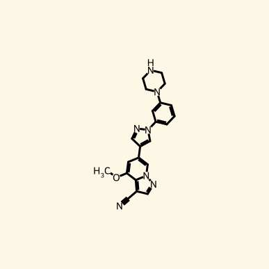 COc1cc(-c2cnn(-c3cccc(N4CCNCC4)c3)c2)cn2ncc(C#N)c12